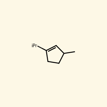 CC1C=C(C(C)C)CC1